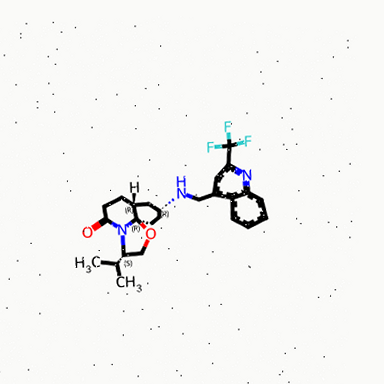 CC(C)[C@H]1CO[C@]23CC[C@@H](NCc4cc(C(F)(F)F)nc5ccccc45)C[C@H]2CCC(=O)N13